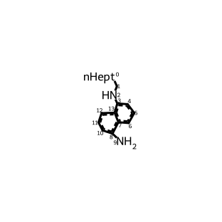 CCCCCCCCNc1cccc2c(N)cccc12